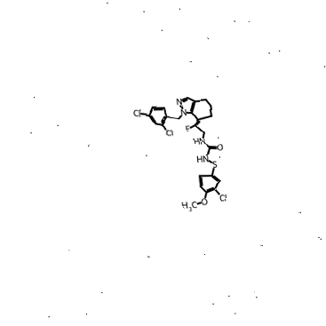 COc1ccc(SNC(=O)NC/C(F)=C2\CCCc3cnn(Cc4ccc(Cl)cc4Cl)c32)cc1Cl